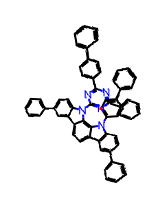 c1ccc(-c2ccc(-c3nc(-c4ccccc4)nc(-n4c5ccc(-c6ccccc6)cc5c5ccc6c7cc(-c8ccccc8)ccc7n(-c7ccc(-c8ccccc8)cc7)c6c54)n3)cc2)cc1